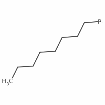 CCCCCCCC[P]